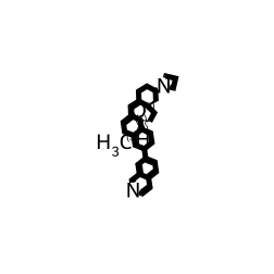 C[C@]12CC=C3C=C4CCC(N5CCC5)C[C@]45CC[C@]3(O5)[C@@H]1CCC(c1ccc3ccncc3c1)C2